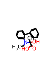 CCN(c1ccccc1-c1ccccc1)C(C)(O)C(=O)O